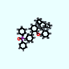 O=P(c1ccccc1)(c1ccccc1)c1cccc(-c2cccc3c2Oc2ccccc2C32C3=C(C=CCC3)c3ccccc32)c1